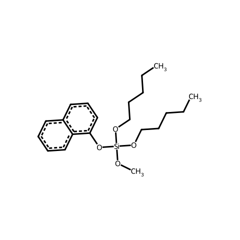 CCCCCO[Si](OC)(OCCCCC)Oc1cccc2ccccc12